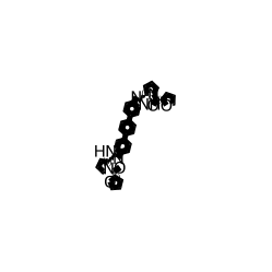 O=C([C@@H]1CCCO1)N1CCC[C@H]1c1nc2ccc(-c3ccc(-c4ccc5nc([C@@H]6CCCN6C(=O)[C@@H]6CCCO6)[nH]c5c4)cc3)cc2[nH]1